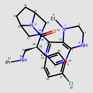 CCN1CCNc2ncnc(N3CC4CCC(C3)N4C(=O)[C@H](CNC(C)C)c3ccc(Cl)cc3)c21